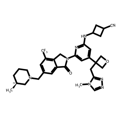 C[C@H]1CCCN(Cc2cc3c(c(C(F)(F)F)c2)CN(c2cc(C4(Cc5nncn5C)COC4)cc(NC4CC(C#N)C4)n2)C3=O)C1